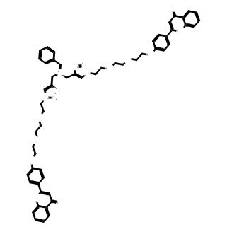 O=c1cc(-c2ccc(OCCOCCOCCn3cc(CN(Cc4ccccc4)Cc4cn(CCOCCOCCOc5ccc(-c6cc(=O)c7ccccc7o6)cc5)nn4)nn3)cc2)oc2ccccc12